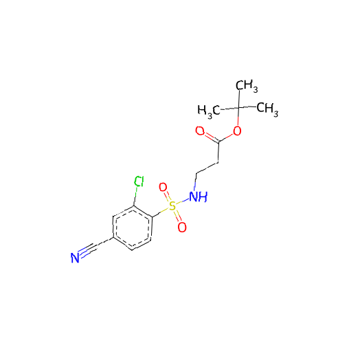 CC(C)(C)OC(=O)CCNS(=O)(=O)c1ccc(C#N)cc1Cl